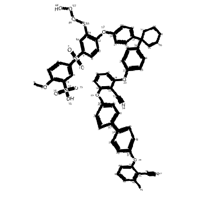 COc1ccc(S(=O)(=O)c2ccc(Oc3ccc(C4(c5ccc(Oc6cccc(Oc7ccc(-c8ccc(Oc9cccc(C)c9C#N)cc8)cc7)c6C#N)cc5)CCCCC4)cc3)c(SOOO)c2)cc1S(=O)(=O)O